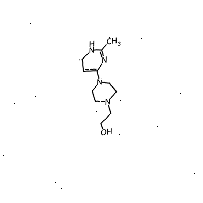 CC1=NC(N2CCN(CCO)CC2)=C[CH]N1